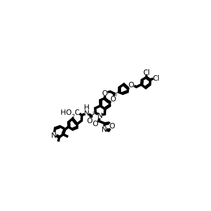 Cc1nccc(-c2ccc(CC(NC(=O)[C@@H]3Cc4cc5c(cc4CN3C(=O)c3cocn3)O[C@@H](c3ccc(OCc4ccc(Cl)c(Cl)c4)cc3)CO5)C(=O)O)cc2)c1C